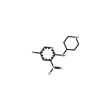 O=[N+]([O-])c1cc(F)cnc1NC1CCNCC1